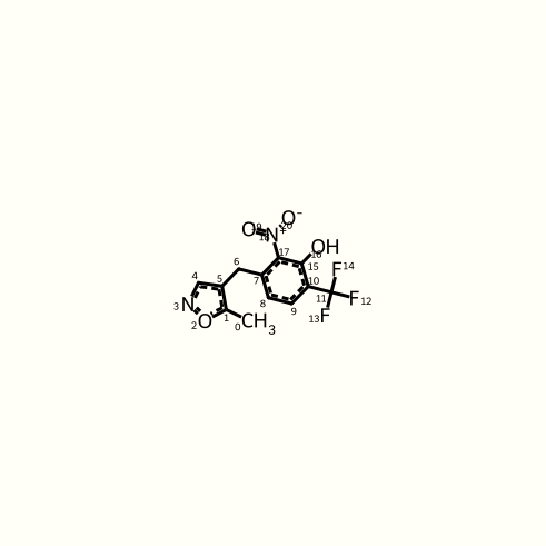 Cc1oncc1Cc1ccc(C(F)(F)F)c(O)c1[N+](=O)[O-]